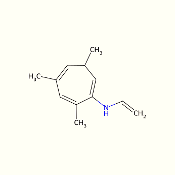 C=CNC1=CC(C)C=C(C)C=C1C